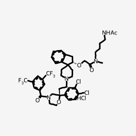 CC(=O)NCCCCN(C)C(=O)CO[C@H]1Cc2ccccc2C12CCN(CC[C@]1(c3ccc(Cl)c(Cl)c3)CN(C(=O)c3cc(C(F)(F)F)cc(C(F)(F)F)c3)CCO1)CC2.Cl